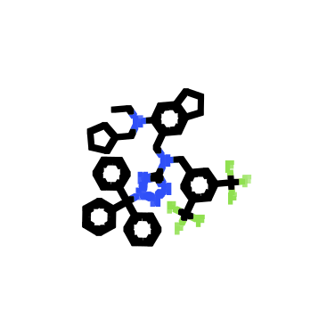 CCN(CC1CCCC1)c1cc2c(cc1CN(Cc1cc(C(F)(F)F)cc(C(F)(F)F)c1)c1nnn(C(c3ccccc3)(c3ccccc3)c3ccccc3)n1)CCC2